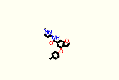 Cc1ccc(Oc2cc(C(=O)Nc3ccn(C)n3)cc3occc23)cc1